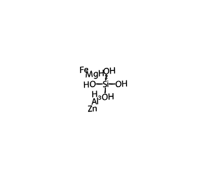 O[Si](O)(O)O.[AlH3].[Fe].[MgH2].[Zn]